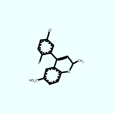 CC1C=C(c2cc(Cl)ccc2F)c2cc(C(=O)O)ccc2O1